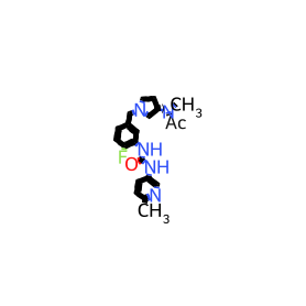 CC(=O)N(C)[C@@H]1CCN(Cc2ccc(F)c(NC(=O)Nc3ccc(C)nc3)c2)C1